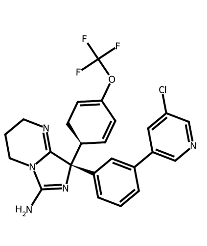 NC1=N[C@@](c2cccc(-c3cncc(Cl)c3)c2)([C@@H]2C=CC(OC(F)(F)F)=CC2)C2=NCCCN12